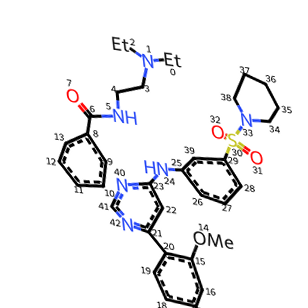 CCN(CC)CCNC(=O)c1ccccc1.COc1ccccc1-c1cc(Nc2cccc(S(=O)(=O)N3CCCCC3)c2)ncn1